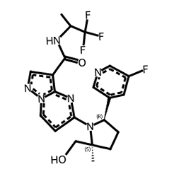 CC(NC(=O)c1cnn2ccc(N3[C@@H](c4cncc(F)c4)CC[C@@]3(C)CO)nc12)C(F)(F)F